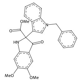 COC(=O)C1(c2cn(Cc3ccccc3)c3ccccc23)Nc2cc(OC)c(OC)cc2C1=O